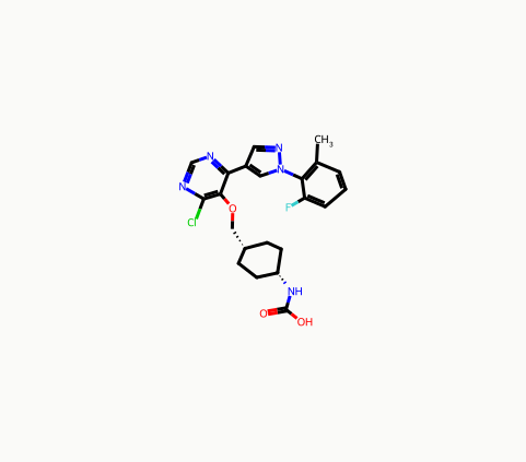 Cc1cccc(F)c1-n1cc(-c2ncnc(Cl)c2OC[C@H]2CC[C@@H](NC(=O)O)CC2)cn1